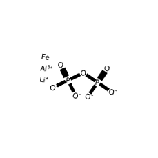 O=P([O-])([O-])OP(=O)([O-])[O-].[Al+3].[Fe].[Li+]